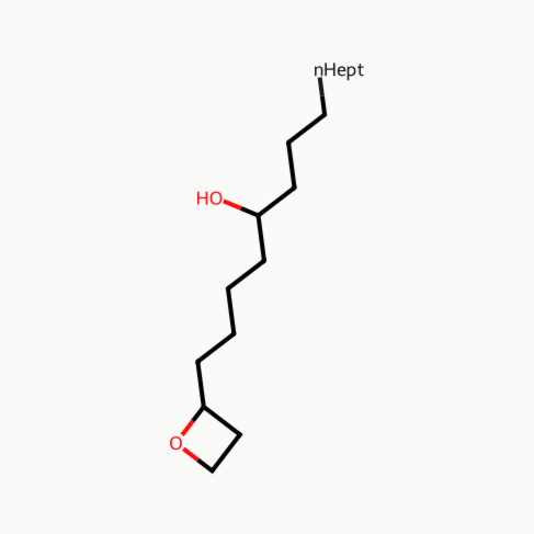 CCCCCCCCCCC(O)CCCCC1CCO1